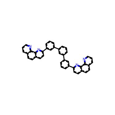 c1cc(-c2cccc(-c3ccc4ccc5cccnc5c4n3)c2)cc(-c2cccc(-c3ccc4ccc5cccnc5c4n3)c2)c1